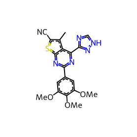 COc1cc(-c2nc(-c3nc[nH]n3)c3c(C)c(C#N)sc3n2)cc(OC)c1OC